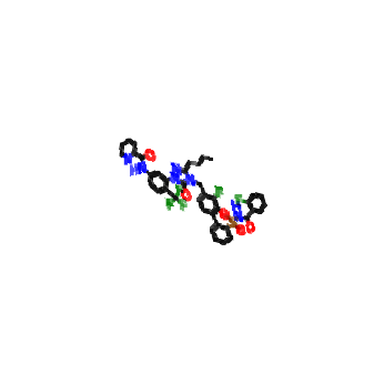 CCCCc1nn(-c2cc(NC(=O)c3ccccn3)ccc2C(F)(F)F)c(=O)n1Cc1ccc(-c2ccccc2S(=O)(=O)NC(=O)c2ccccc2F)cc1F